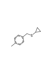 Cc1ccc(CSC2CC2)cc1